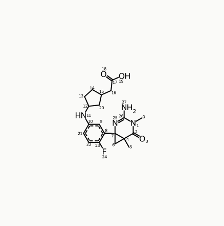 CN1C(=O)C2(C)C[C@]2(c2cc(NC3CCC(CC(=O)O)C3)ccc2F)N=C1N